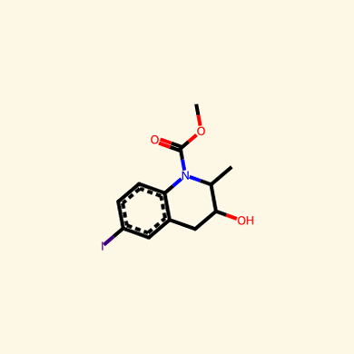 COC(=O)N1c2ccc(I)cc2CC(O)C1C